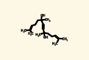 CC(C)=CCCC(C)(O)C#CC(C)(O)CCC=C(C)C